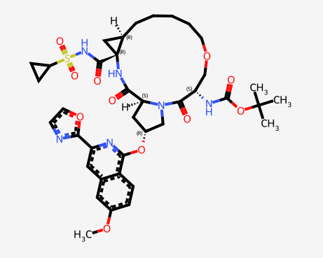 COc1ccc2c(O[C@@H]3C[C@H]4C(=O)N[C@]5(C(=O)NS(=O)(=O)C6CC6)C[C@H]5CCCCCOC[C@H](NC(=O)OC(C)(C)C)C(=O)N4C3)nc(-c3ncco3)cc2c1